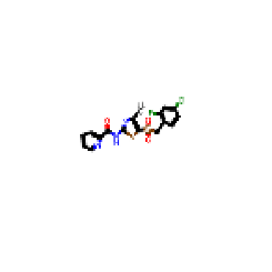 Cc1nc(NC(=O)c2ccccn2)sc1S(=O)(=O)Cc1ccc(Cl)cc1F